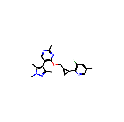 Cc1cnc(C2CC2COc2nc(C)ncc2-c2c(C)nn(C)c2C)c(F)c1